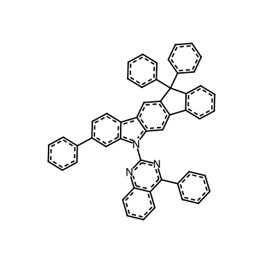 c1ccc(-c2ccc3c4cc5c(cc4n(-c4nc(-c6ccccc6)c6ccccc6n4)c3c2)-c2ccccc2C5(c2ccccc2)c2ccccc2)cc1